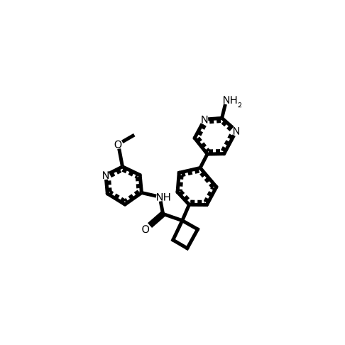 COc1cc(NC(=O)C2(c3ccc(-c4cnc(N)nc4)cc3)CCC2)ccn1